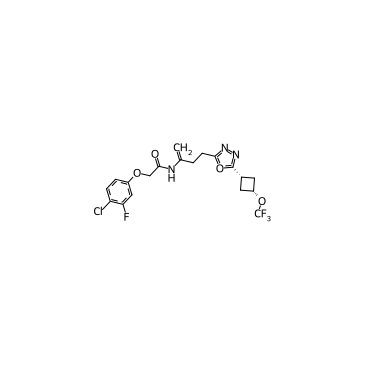 C=C(CCc1nnc([C@H]2C[C@@H](OC(F)(F)F)C2)o1)NC(=O)COc1ccc(Cl)c(F)c1